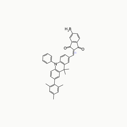 Bc1ccc2c(c1)C(=O)/C(=C\c1ccc3c(c1)C(C)(C)c1cc(-c4c(C)cc(C)cc4C)ccc1N3c1ccccc1)C2=O